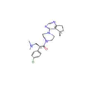 C[C@@H]1CCc2ncnc(N3CCN(C(=O)[C@H](CN(C)C)c4ccc(Cl)cc4)CC3)c21